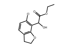 CCOC(=O)C(O)c1c(Cl)ccc2c1OCC2